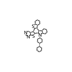 c1ccc(-c2ccc(-n3c4ccccc4c4c5c6ccccc6sc5c5c6cncnc6sc5c43)cc2)cc1